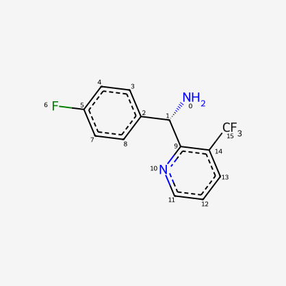 N[C@@H](c1ccc(F)cc1)c1ncccc1C(F)(F)F